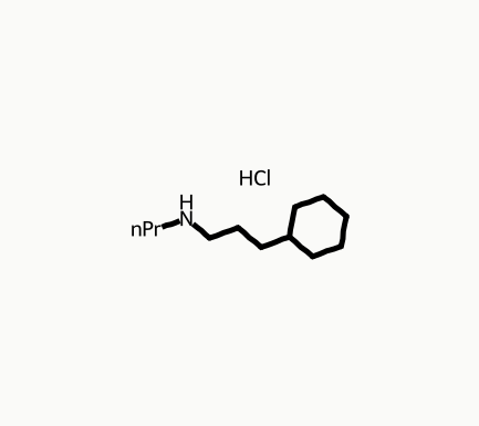 CCCNCCCC1CCCCC1.Cl